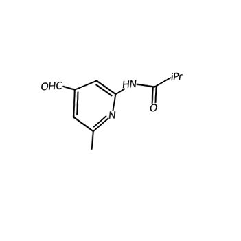 Cc1cc(C=O)cc(NC(=O)C(C)C)n1